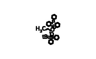 CC=C[C@H](CO[Si](c1ccccc1)(c1ccccc1)C(C)(C)C)OC(=O)c1ccccc1P(c1ccccc1)c1ccccc1